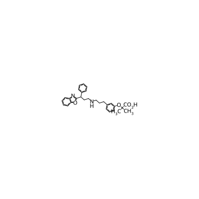 CC(C)(Oc1cccc(CCCNCCC(c2ccccc2)c2nc3ccccc3o2)c1)C(=O)O